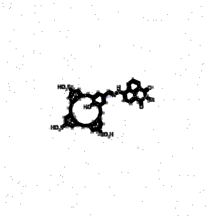 CCN1C(=O)c2cccc3c(N/N=C/c4cc5c(O)c(c4)Cc4cc(S(=O)(=O)O)cc(c4O)Cc4cc(S(=O)(=O)O)cc(c4O)Cc4cc(S(=O)(=O)O)cc(c4O)C5)ccc(c23)C1=O